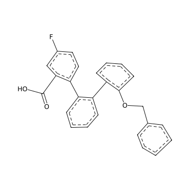 O=C(O)c1cc(F)ccc1-c1ccccc1-c1ccccc1OCc1ccccc1